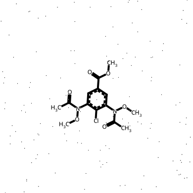 COC(=O)c1cc(N(OC)C(C)=O)c(Cl)c(N(OC)C(C)=O)c1